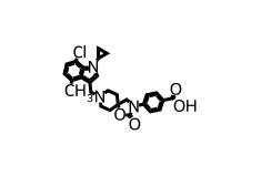 Cc1ccc(Cl)c2c1c(CN1CCC3(CC1)CN(c1ccc(C(=O)O)cc1)C(=O)O3)cn2C1CC1